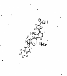 CC1=NN(c2ccc3c(c2)CCCC3)C(=O)C1=NNc1cccc(-c2ccc(C(=O)O)o2)c1O.[Na].[Na]